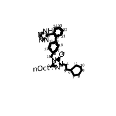 CCCCCCCCc1nn(CCC2CCCCC2)c(=O)n1Cc1ccc(-c2ccccc2-c2nnn[nH]2)cc1